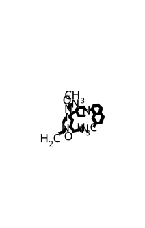 C=CC(=O)N1CCN(c2nc(OC)nc3c2CCN(c2cccc4ccc(C)cc24)C3)CC1CC#N